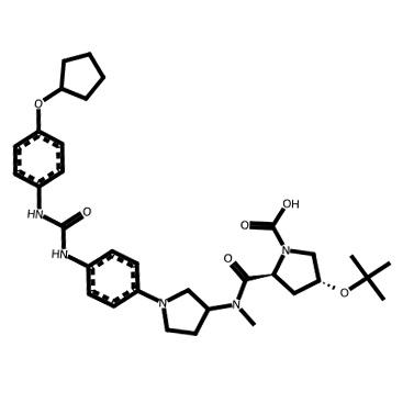 CN(C(=O)[C@@H]1C[C@@H](OC(C)(C)C)CN1C(=O)O)C1CCN(c2ccc(NC(=O)Nc3ccc(OC4CCCC4)cc3)cc2)C1